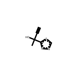 C#CC(C)(O)c1nncs1